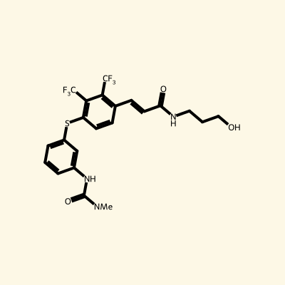 CNC(=O)Nc1cccc(Sc2ccc(C=CC(=O)NCCCO)c(C(F)(F)F)c2C(F)(F)F)c1